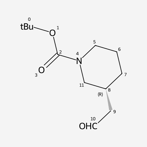 CC(C)(C)OC(=O)N1CCC[C@H](CC=O)C1